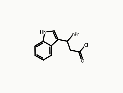 CCCC(CC(=O)Cl)c1c[nH]c2ccccc12